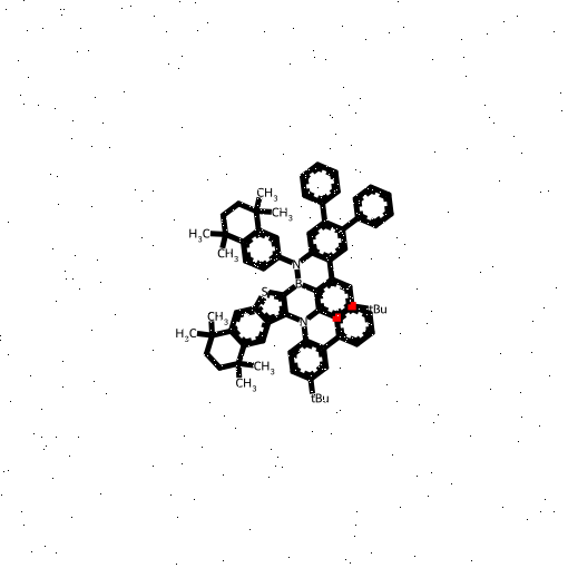 CC(C)(C)c1ccc(N2c3cc(C(C)(C)C)cc4c3B(c3sc5cc6c(cc5c32)C(C)(C)CCC6(C)C)N(c2ccc3c(c2)C(C)(C)CCC3(C)C)c2cc(-c3ccccc3)c(-c3ccccc3)cc2-4)c(-c2ccccc2)c1